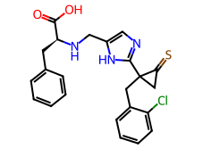 O=C(O)[C@H](Cc1ccccc1)NCc1cnc(C2(Cc3ccccc3Cl)CC2=S)[nH]1